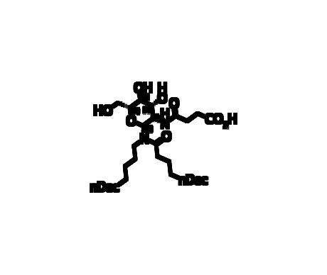 CCCCCCCCCCCCCCN(C(=O)CCCCCCCCCCCCC)[C@@H]1O[C@H](CO)[C@@H](O)[C@H](O)[C@@H]1NC(=O)CCC(=O)O